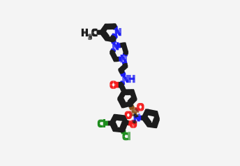 Cc1ccnc(N2CCN(CCNC(=O)c3ccc(S(=O)(=O)N(Oc4ccc(Cl)cc4Cl)c4ccccc4)cc3)CC2)c1